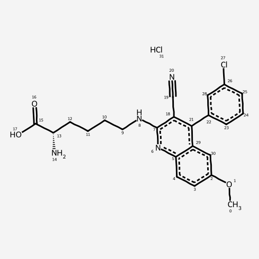 COc1ccc2nc(NCCCC[C@H](N)C(=O)O)c(C#N)c(-c3cccc(Cl)c3)c2c1.Cl